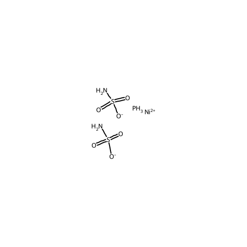 NS(=O)(=O)[O-].NS(=O)(=O)[O-].P.[Ni+2]